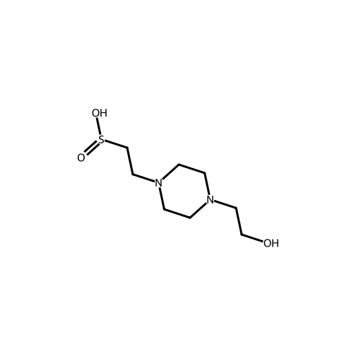 O=S(O)CCN1CCN(CCO)CC1